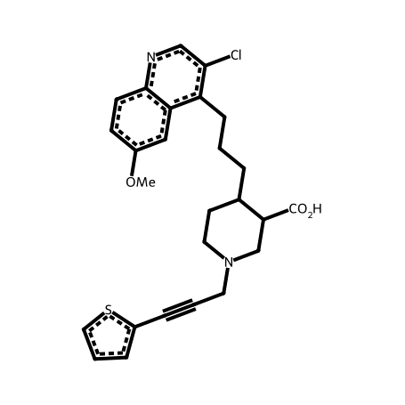 COc1ccc2ncc(Cl)c(CCCC3CCN(CC#Cc4cccs4)CC3C(=O)O)c2c1